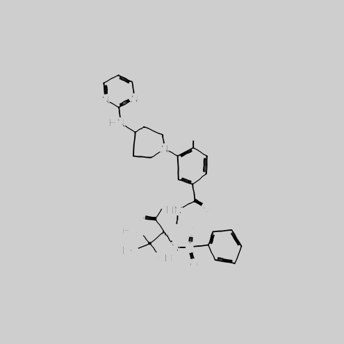 CC(C)(C)[C@](CNC(=O)c1ccc(F)c(N2CCC(Nc3ncccn3)CC2)c1)(NS(=O)(=O)c1ccccc1)C(=O)O